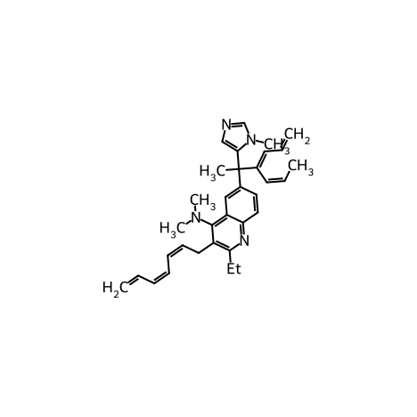 C=C/C=C\C=C/Cc1c(CC)nc2ccc(C(C)(C(/C=C\C)=C/C=C)c3cncn3C)cc2c1N(C)C